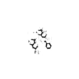 CN1Cc2cc(N)cnc2C(C)(C)C1.CN1Cc2cc(NC(=O)c3ccccc3)cnc2C(C)(C)C1.Cl